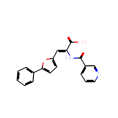 O=C(O)C(=Cc1ccc(-c2ccccc2)o1)NC(=O)c1cccnc1